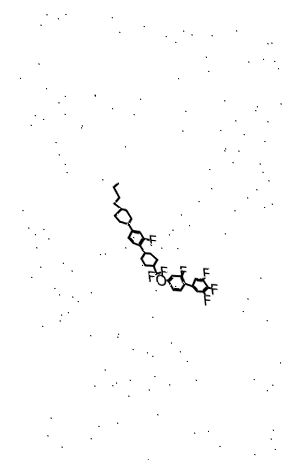 CCCCC1CCC(c2ccc(C3CCC(C(F)(F)Oc4ccc(-c5cc(F)c(F)c(F)c5)c(F)c4)CC3)c(F)c2)CC1